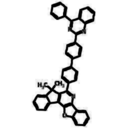 CC1(C)c2ccccc2-c2c1c(-c1ccc(-c3ccc(-c4nc(-c5ccccc5)c5ccccc5n4)cc3)cc1)nc1c2oc2ccccc21